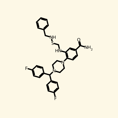 NC(=O)c1ccc(N2CCN(C(c3ccc(F)cc3)c3ccc(F)cc3)CC2)c(NCSNCc2ccccc2)c1